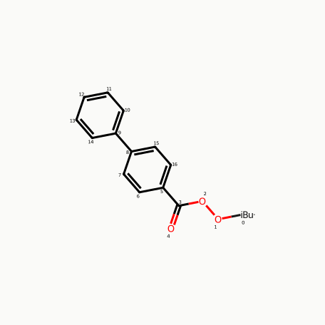 CC[C](C)OOC(=O)c1ccc(-c2ccccc2)cc1